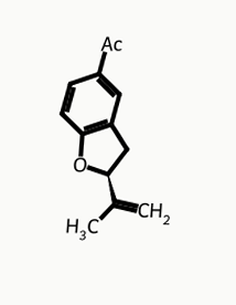 C=C(C)[C@@H]1Cc2cc(C(C)=O)ccc2O1